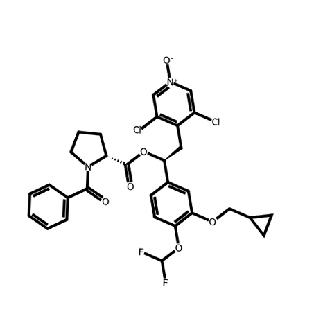 O=C(O[C@@H](Cc1c(Cl)c[n+]([O-])cc1Cl)c1ccc(OC(F)F)c(OCC2CC2)c1)[C@H]1CCCN1C(=O)c1ccccc1